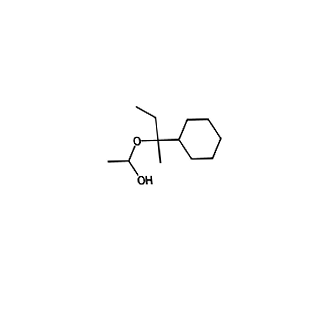 CCC(C)(OC(C)O)C1CCCCC1